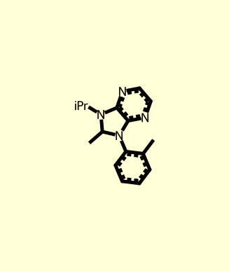 Cc1ccccc1N1c2nccnc2N(C(C)C)C1C